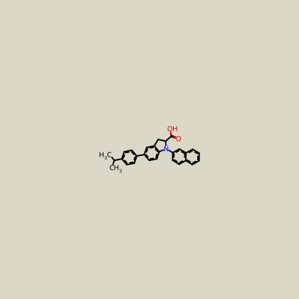 CC(C)c1ccc(-c2ccc3c(c2)CC(C(=O)O)N3c2ccc3ccccc3c2)cc1